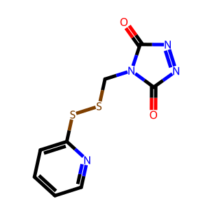 O=C1N=NC(=O)N1CSSc1ccccn1